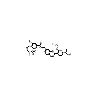 CCOc1nc([C@@H](F)CF)ccc1-c1ccc2cnc(CNC(=O)c3cc(Br)c4c(c3)S(=O)(=O)[C@@H](F)COC4)cc2n1